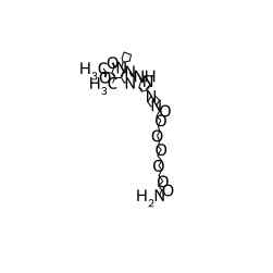 CC(=O)c1c(C)c2cnc(Nc3ccc(N4CCN(C(=O)COCCOCCOCCOCCOCC(N)=O)CC4)cn3)nc2n(C2CCCC2)c1=O